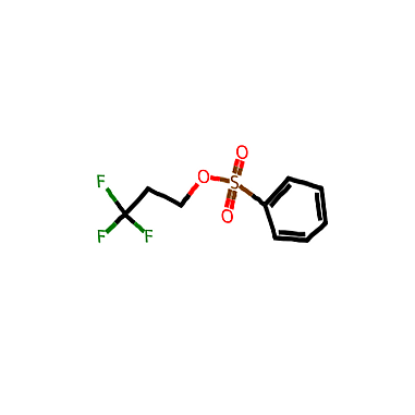 O=S(=O)(OCCC(F)(F)F)c1ccccc1